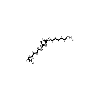 CCCCCCSc1nnc(SCCCCCC)s1